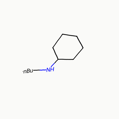 CCC[CH]NC1CCCCC1